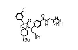 CC(C)CC[C@H](c1ccc(C(=O)NCc2nn[nH]n2)cc1)N1C(=O)C(c2cccc(Cl)c2)=NC12CCC(C(C)(C)C)CC2